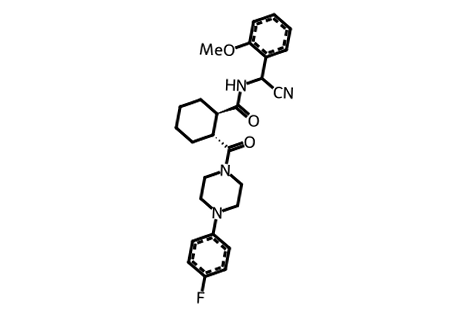 COc1ccccc1C(C#N)NC(=O)[C@@H]1CCCC[C@H]1C(=O)N1CCN(c2ccc(F)cc2)CC1